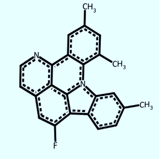 Cc1cc(C)c2c(c1)c1nccc3cc(F)c4c5ccc(C)cc5n2c4c31